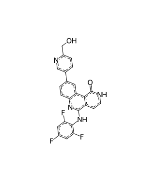 O=c1[nH]ccc2c(Nc3c(F)cc(F)cc3F)nc3ccc(-c4ccc(CO)nc4)cc3c12